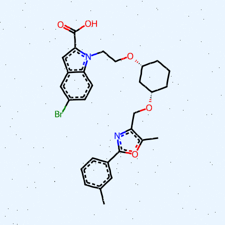 Cc1cccc(-c2nc(CO[C@H]3CCC[C@@H](OCCn4c(C(=O)O)cc5cc(Br)ccc54)C3)c(C)o2)c1